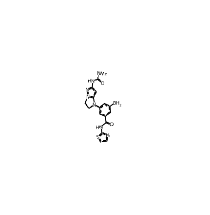 Bc1cc(C(=O)Nc2nccs2)cc(N2CCn3nc(NC(=O)NC)cc32)c1